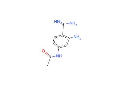 CC(=O)Nc1ccc(C(=N)N)c(N)c1